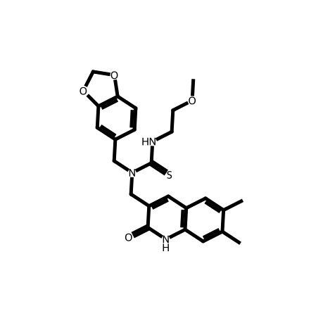 COCCNC(=S)N(Cc1ccc2c(c1)OCO2)Cc1cc2cc(C)c(C)cc2[nH]c1=O